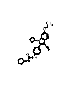 CCOc1ccc2c(C#N)c(-c3ccc(NC(=O)NC4CCCC4)cc3)n(C3CCC3)c2c1